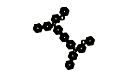 c1ccc(Oc2cccc(N(c3ccc(-c4ccccc4)cc3)c3ccc(-c4ccc(-c5ccc(N(c6ccc(-c7ccccc7)cc6)c6cccc(Oc7ccccc7)c6)cc5)cc4)cc3)c2)cc1